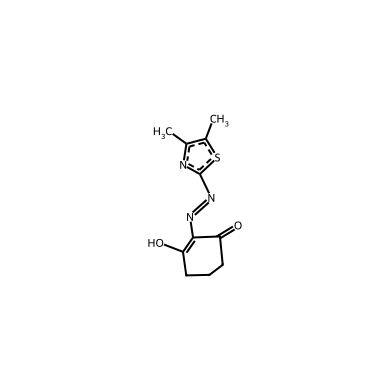 Cc1nc(N=NC2=C(O)CCCC2=O)sc1C